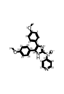 COc1ccc(-c2nc([S+]([O-])c3ccncc3)[nH]c2-c2ccc(OC)cc2)cc1